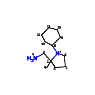 CC1(CN)CCCN1C1CCCCC1